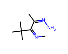 C/N=C(\C(C)=N/N)C(C)(C)C